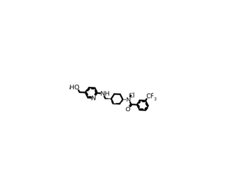 O=C(c1cccc(C(F)(F)F)c1)N(Cl)[C@H]1CC[C@H](CNc2ccc(CO)cn2)CC1